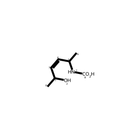 CC(O)/C=C\C(C)NC(=O)O